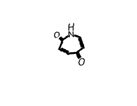 O=c1cc[nH]c(=O)cc1